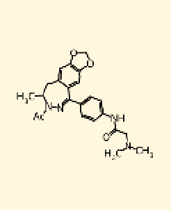 CC(=O)N1N=C(c2ccc(NC(=O)CN(C)C)cc2)c2cc3c(cc2CC1C)OCO3